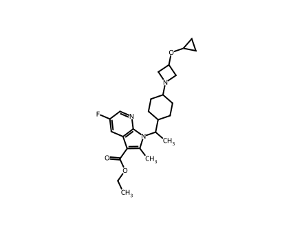 CCOC(=O)c1c(C)n(C(C)C2CCC(N3CC(OC4CC4)C3)CC2)c2ncc(F)cc12